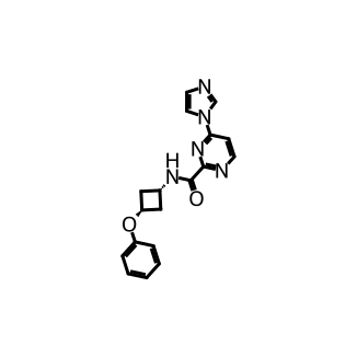 O=C(N[C@H]1C[C@H](Oc2ccccc2)C1)c1nccc(-n2ccnc2)n1